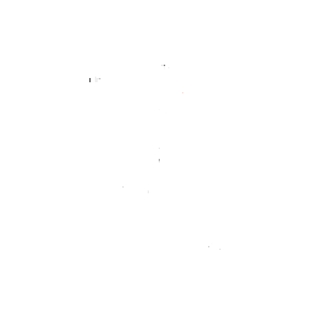 C=C(CCCC(=O)O)CCCC(=O)OC(CCCCCCC)CCCCCCC